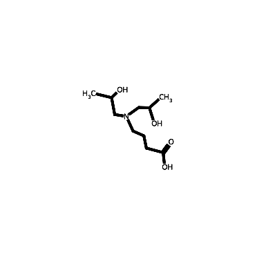 CC(O)CN(CCCC(=O)O)CC(C)O